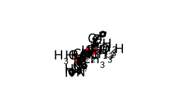 C=C(C)C1CC[C@]2(C(=O)N3CCC[C@H]3c3ncc(-c4ccncc4)[nH]3)CC[C@]3(C)[C@H](CC[C@@H]4[C@]5(C)CC[C@H]([C@@]6(C(=O)O)C[C@@H](C(=O)OCc7ccccc7)C6(C)C)C(C)(C)[C@H]5CC[C@]43C)[C@@H]12